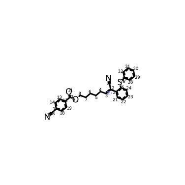 N#C/C(=C\CCCCCOC(=O)c1ccc(C#N)cc1)c1ccccc1Sc1ccccc1